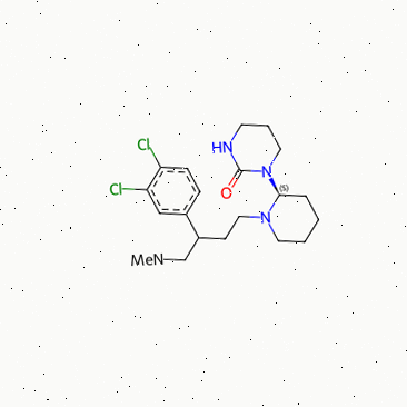 CNCC(CCN1CCCC[C@@H]1N1CCCNC1=O)c1ccc(Cl)c(Cl)c1